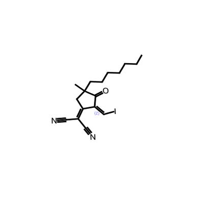 CCCCCCCC1(C)CC(=C(C#N)C#N)/C(=C/I)C1=O